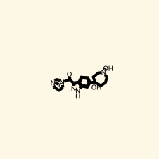 O=C(c1n[nH]c2cc(C3(O)CCCN(O)CC3)ccc12)N1CCN2CCC1CC2